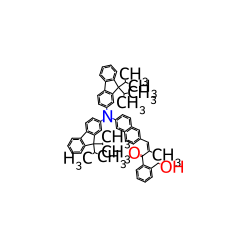 CC(=Cc1ccc2cc(N(c3ccc4c(c3)C(C(C)C)(C(C)C)c3ccccc3-4)c3ccc4c(c3)C(C(C)C)(C(C)C)c3ccccc3-4)ccc2c1)C(=O)c1ccccc1CO